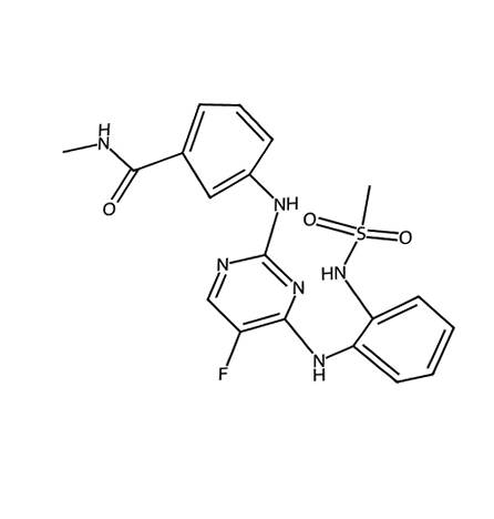 CNC(=O)c1cccc(Nc2ncc(F)c(Nc3ccccc3NS(C)(=O)=O)n2)c1